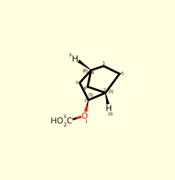 O=C(O)O[C@H]1C[C@@H]2CC[C@H]1C2